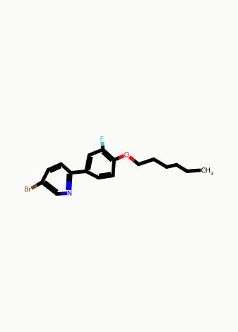 CCCCCCOc1ccc(-c2ccc(Br)cn2)cc1F